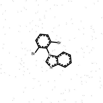 Brc1cccc(Br)c1-n1cnc2ccccc21